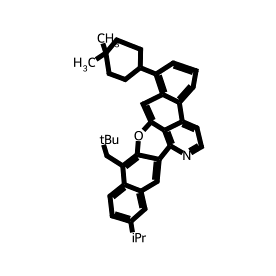 CC(C)c1ccc2c(CC(C)(C)C)c3c(cc2c1)-c1nccc2c1c(cc1c(C4CCC(C)(C)CC4)cccc12)O3